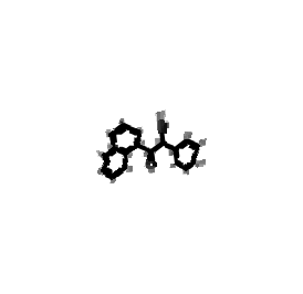 O=C(c1cccc2ccccc12)C(Br)c1ccccc1